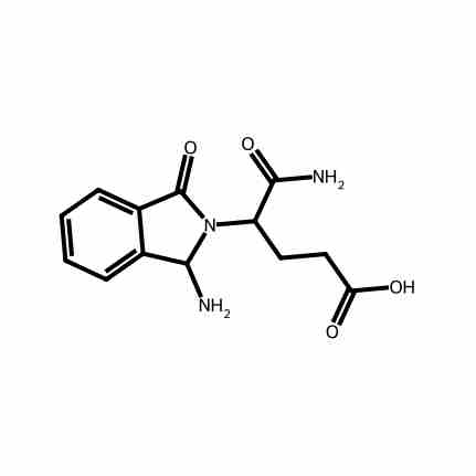 NC(=O)C(CCC(=O)O)N1C(=O)c2ccccc2C1N